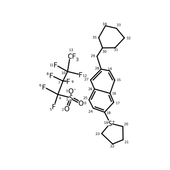 O=S(=O)([O-])C(F)(F)C(F)(F)C(F)(F)C(F)(F)F.c1cc2cc([S+]3CCCC3)ccc2cc1CC1CCCCC1